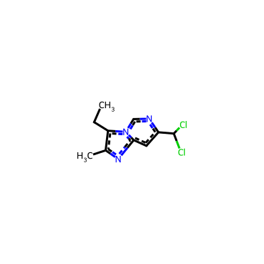 CCc1c(C)nc2cc(C(Cl)Cl)ncn12